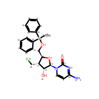 CC(C)(C)[Si](OC[C@H]1O[C@@H](n2ccc(N)nc2=O)[C@H](O)[C@@H]1CF)(c1ccccc1)c1ccccc1